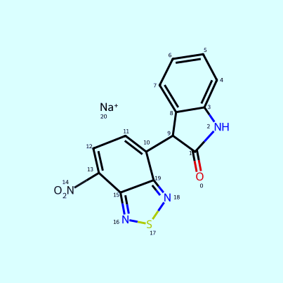 O=C1Nc2ccccc2C1c1ccc([N+](=O)[O-])c2nsnc12.[Na+]